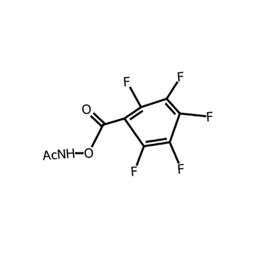 CC(=O)NOC(=O)c1c(F)c(F)c(F)c(F)c1F